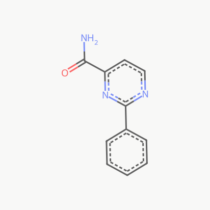 NC(=O)c1ccnc(-c2ccccc2)n1